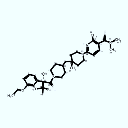 CCOc1cccc([C@@](O)(C(=O)N2CCC(CC3(C)CCN(c4ccc(C(=O)N(C)C)c(C)n4)CC3)CC2)C(F)(F)F)c1